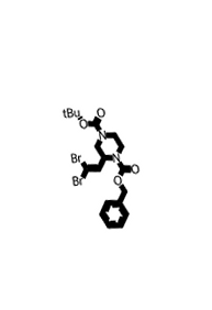 CC(C)(C)OC(=O)N1CCN(C(=O)OCc2ccccc2)C(C=C(Br)Br)C1